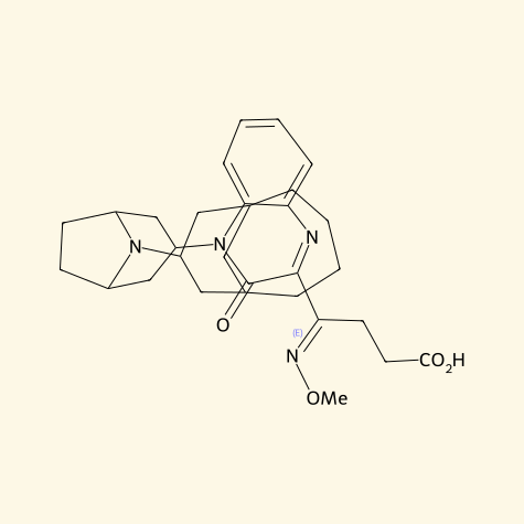 CO/N=C(\CCC(=O)O)c1nc2ccccc2n(C2CC3CCC(C2)N3C2CC3CCCCC(C3)C2)c1=O